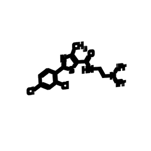 Cc1nc(-c2ccc(Cl)cc2Cl)sc1C(=O)NCCN(C(C)C)C(C)C